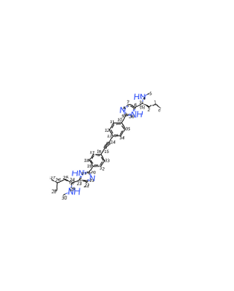 CCC[C@H](NC)c1cnc(-c2ccc(C#Cc3ccc(-c4ncc([C@H](CC(C)C)NC)[nH]4)cc3)cc2)[nH]1